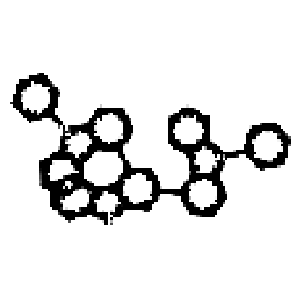 c1ccc(-n2c3ccccc3c3c(-c4cc(-c5cccc6c5c5ccccc5n6-c5ccccc5)c5c(c4)oc4ccccc45)cccc32)cc1